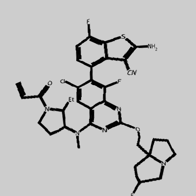 C=CC(=O)N1CCC(N(C)c2nc(OCC34CCCN3CC(F)C4)nc3c(F)c(-c4ccc(F)c5sc(N)c(C#N)c45)c(Cl)cc23)C1CC